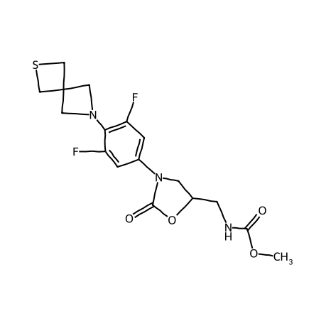 COC(=O)NCC1CN(c2cc(F)c(N3CC4(CSC4)C3)c(F)c2)C(=O)O1